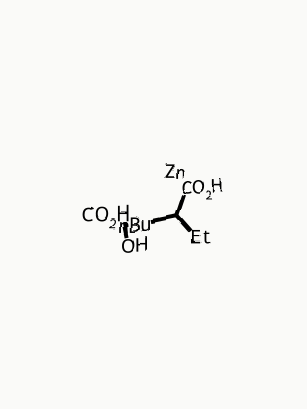 CCCCC(CC)C(=O)O.O=C(O)O.[Zn]